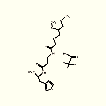 O=C(COCC(CO[N+](=O)[O-])O[N+](=O)[O-])NCCC(=O)NC(Cc1c[nH]cn1)C(=O)O.O=C(O)C(F)(F)F